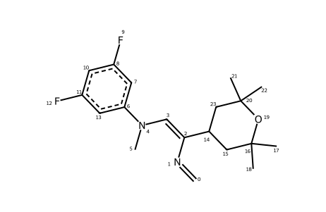 C=N/C(=C\N(C)c1cc(F)cc(F)c1)C1CC(C)(C)OC(C)(C)C1